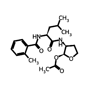 CC(=O)O[C@@H]1OCC[C@@H]1NC(=O)[C@H](CC(C)C)NC(=O)c1ccccc1C